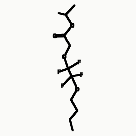 CCCCOC(F)(F)C(F)(F)OCC(=O)OC(C)C